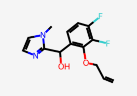 C=CCOc1c(C(O)c2nccn2C)ccc(F)c1F